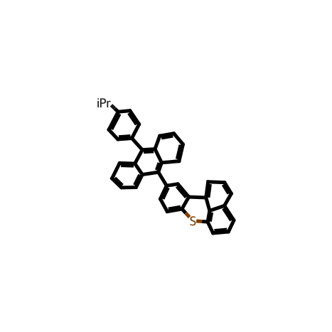 CC(C)c1ccc(-c2c3ccccc3c(-c3ccc4c(c3)-c3cccc5cccc(c35)S4)c3ccccc23)cc1